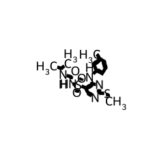 CSc1ncc(S(=O)(=O)NC(=O)NC(C)C)c(Nc2cccc(C)c2)n1